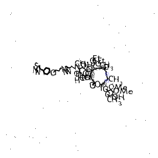 CCOC(C[C@H]1C[C@@H](C)C(=O)/C=C/C(C)=C/[C@H](COC2OC(C)C(O)C(OC)C2OC)[C@@H](I)OC(=O)C[C@@H](O)[C@H](C)[C@H]1OC1OC(C)C(O)C(N(C)CCc2cn(CCCOc3ccc(-c4csnn4)cc3)nn2)C1O)OCC